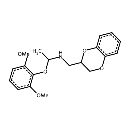 COc1cccc(OC)c1OC(C)NCC1COc2ccccc2O1